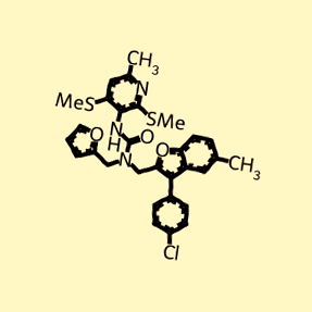 CSc1cc(C)nc(SC)c1NC(=O)N(Cc1ccco1)Cc1oc2ccc(C)cc2c1-c1ccc(Cl)cc1